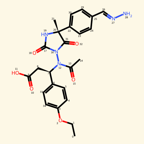 CCOc1ccc([C@@H](CC(=O)O)N(C(C)=O)N2C(=O)N[C@](C)(c3ccc(C=NN)cc3)C2=O)cc1